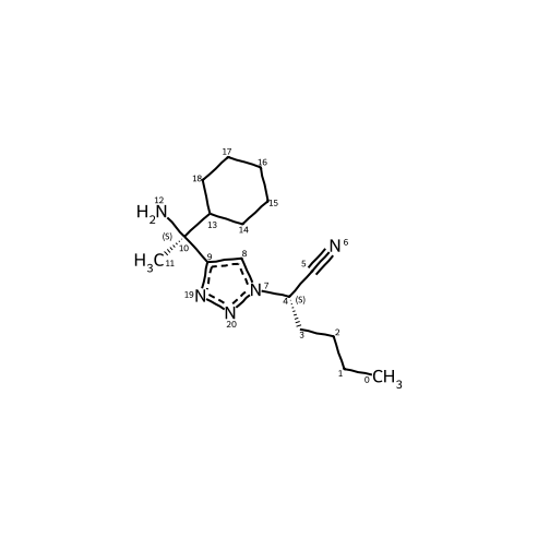 CCCC[C@@H](C#N)n1cc([C@@](C)(N)C2CCCCC2)nn1